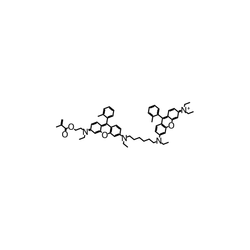 C=C(C)C(=O)OCC/[N+](CC)=c1\ccc2c(-c3ccccc3C)c3ccc(N(CC)CCCCCCN(CC)c4ccc5c(-c6ccccc6C)c6ccc(=[N+](CC)CC)cc-6oc5c4)cc3oc-2c1